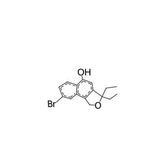 CCC1(CC)OCc2c1cc(O)c1ccc(Br)cc21